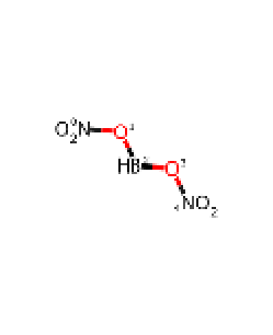 O=[N+]([O-])OBO[N+](=O)[O-]